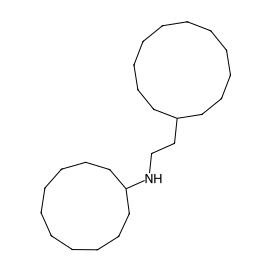 C1CCCCCC(CCNC2CCCCCCCCCC2)CCCCC1